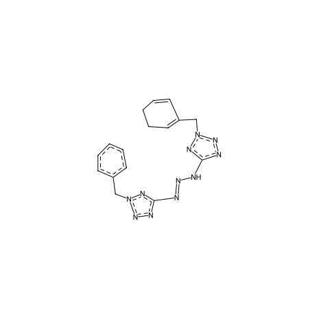 C1=CC(Cn2nnc(NN=Nc3nnn(Cc4ccccc4)n3)n2)=CCC1